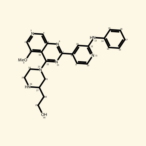 COc1cncc2nc(-c3ccnc(Nc4ccccc4)c3)nc(N3CCNC(CCO)C3)c12